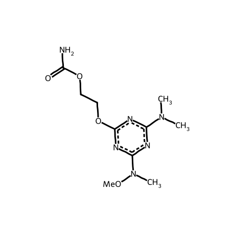 CON(C)c1nc(OCCOC(N)=O)nc(N(C)C)n1